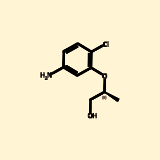 C[C@@H](CO)Oc1cc(N)ccc1Cl